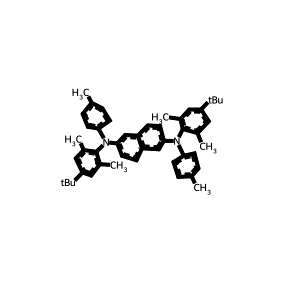 Cc1ccc(N(c2ccc3cc(N(c4ccc(C)cc4)c4c(C)cc(C(C)(C)C)cc4C)ccc3c2)c2c(C)cc(C(C)(C)C)cc2C)cc1